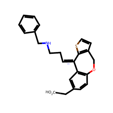 O=C(O)Cc1ccc2c(c1)/C(=C/CCNCc1ccccc1)c1sccc1CO2